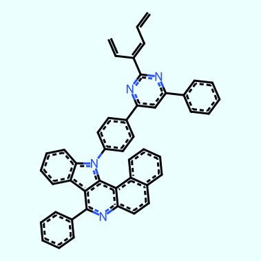 C=C/C=C(\C=C)c1nc(-c2ccccc2)cc(-c2ccc(-n3c4ccccc4c4c(-c5ccccc5)nc5ccc6ccccc6c5c43)cc2)n1